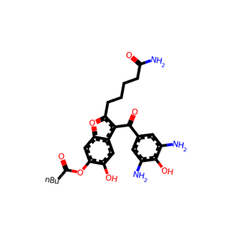 CCCCC(=O)Oc1cc2oc(CCCCC(N)=O)c(C(=O)c3cc(N)c(O)c(N)c3)c2cc1O